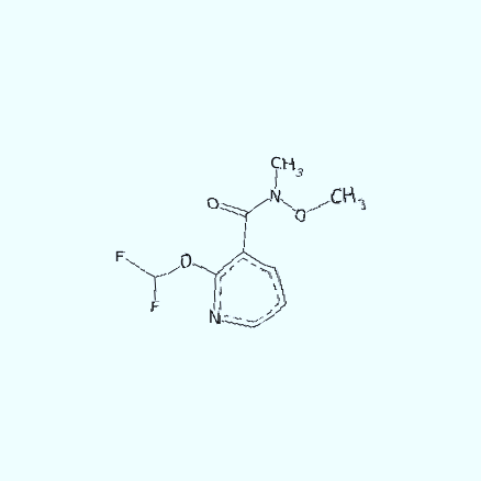 CON(C)C(=O)c1cccnc1OC(F)F